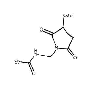 CCC(=O)NCN1C(=O)CC(SC)C1=O